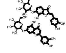 O=C1C(=Cc2ccc(O)c(O)c2)Oc2c1ccc(O[C@@H]1OC(CO)[C@@H](O)[C@H](O)C1O)c2O.O=c1cc(-c2ccc(O)c(O)c2)oc2cc(O[C@@H]3O[C@H](CO)[C@@H](O)[C@H](O)[C@H]3O)cc(O)c12